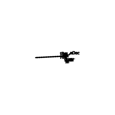 CC#CC#CC#CC#CC#CC#CC#CC#CC#CC#CC#CC#CC(=O)N[C@@H](CO[C@H]1OC(CN=[N+]=[N-])[C@H](C)[C@H](C)C1C)[C@H](O[Si](C)(C)C(C)(C)C)[C@H](C)CCCCCCCCCCCCCC